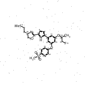 CSCC[C@@H]1COC(c2ccc(-c3cc(Oc4ccc(S(C)(=O)=O)nc4)cc(O[C@@H](C)CF)c3)[nH]2)=N1